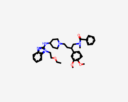 CCOCCn1c(NC2CCN(CCC(CN(C)C(=O)c3ccccc3)c3ccc(OC)c(OC)c3)CC2)nc2ccccc21